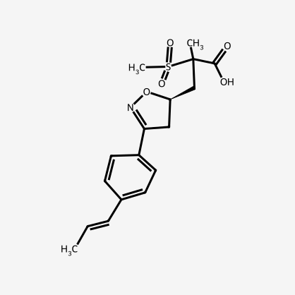 CC=Cc1ccc(C2=NO[C@@H](CC(C)(C(=O)O)S(C)(=O)=O)C2)cc1